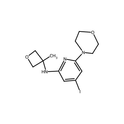 CC1(Nc2cc(I)cc(N3CCOCC3)n2)COC1